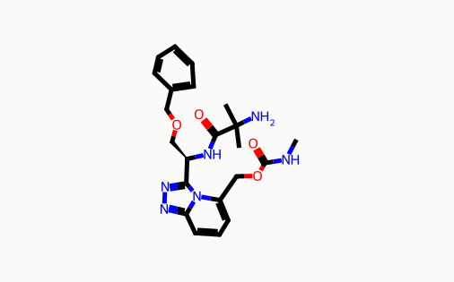 CNC(=O)OCc1cccc2nnc([C@@H](COCc3ccccc3)NC(=O)C(C)(C)N)n12